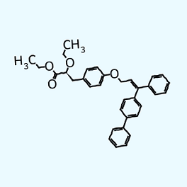 CCOC(=O)[C@H](Cc1ccc(OC/C=C(/c2ccccc2)c2ccc(-c3ccccc3)cc2)cc1)OCC